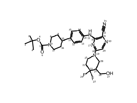 CC(C)(C)OC(=O)N1CCC(c2ccc(Nc3nc(N4CCC(F)(F)C(CO)C4)cnc3C#N)cc2)CC1